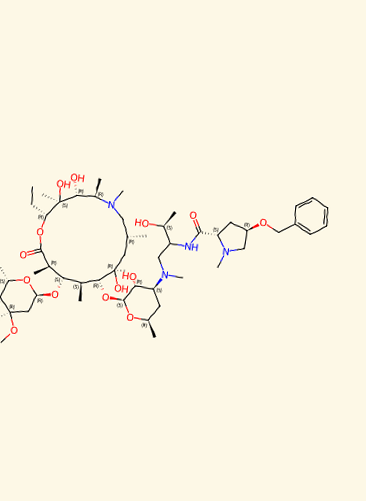 CC[C@H]1OC(=O)[C@H](C)[C@@H](O[C@H]2C[C@@](C)(OC)[C@@H](O)[C@H](C)O2)[C@H](C)[C@@H](O[C@@H]2O[C@H](C)C[C@H](N(C)CC(NC(=O)[C@@H]3C[C@@H](OCc4ccccc4)CN3C)[C@H](C)O)[C@H]2O)[C@](C)(O)C[C@@H](C)CN(C)[C@H](C)[C@@H](O)[C@]1(C)O